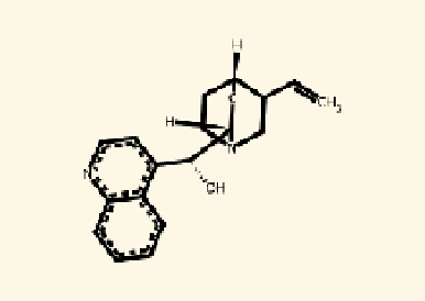 C=CC1CN2CC[C@H]1C[C@H]2[C@H](O)c1ccnc2ccccc12